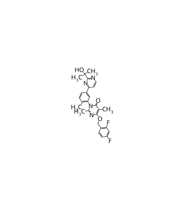 Cc1ccc(-c2ccnc(C(C)(C)O)n2)cc1-n1c(C)nc(OCc2ccc(F)cc2F)c(C)c1=O